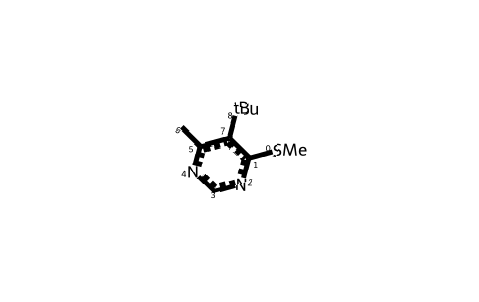 CSc1ncnc(C)c1C(C)(C)C